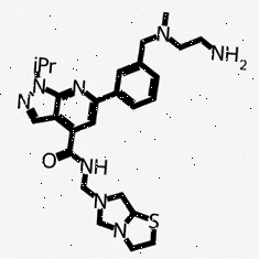 CC(C)n1ncc2c(C(=O)NCN3CC4SCCN4C3)cc(-c3cccc(CN(C)CCN)c3)nc21